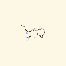 CC/C=C(C=O)\C=C1\OCCOC1C